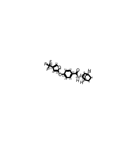 O=C(N[C@@H]1C[C@H]2CC[C@@H]1N2)c1ccc(Oc2cc(C(F)(F)F)co2)cc1